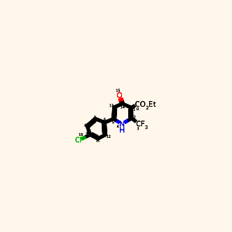 CCOC(=O)c1c(C(F)(F)F)[nH]c(-c2ccc(Cl)cc2)cc1=O